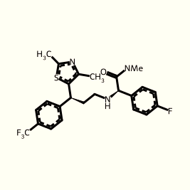 CNC(=O)[C@H](NCC[C@@H](c1ccc(C(F)(F)F)cc1)c1sc(C)nc1C)c1ccc(F)cc1